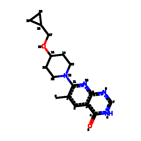 Cc1cc2c(=O)[nH]cnc2nc1N1CCC(OCC2CC2)CC1